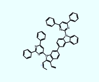 C=Cc1c(/C=C\C)n(-c2cc(-c3ccccc3)nc(-c3ccccc3)n2)c2cc(-c3ccc4c(c3)c3ccccc3n4-c3nc(-c4ccccc4)cc(-c4ccccc4)n3)ccc12